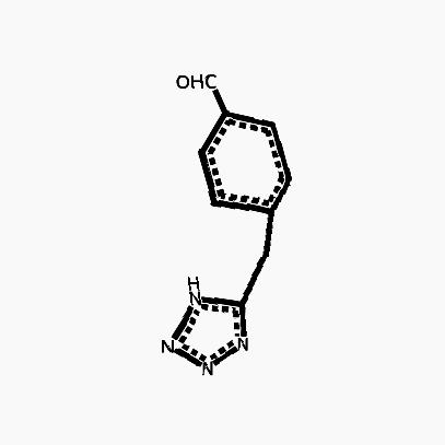 O=Cc1ccc(Cc2nnn[nH]2)cc1